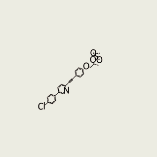 CC(COc1ccc(C#Cc2ccc(-c3ccc(Cl)cc3)cn2)cc1)OS(C)(=O)=O